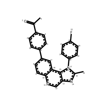 CC(=O)c1ccc(-c2ccc3ncc4nc(C)n(-c5ccc(F)cc5)c4c3c2)cc1